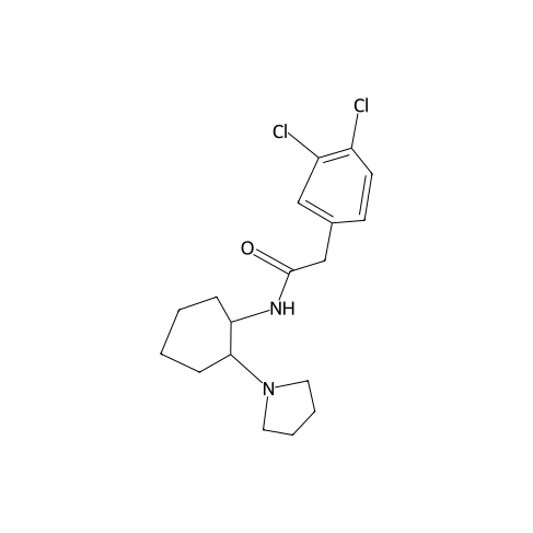 O=C(Cc1ccc(Cl)c(Cl)c1)NC1CCCCC1N1CCCC1